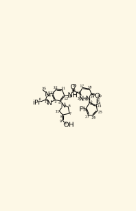 CC(C)c1nc2c(N3CC/C(=C\O)C3)c(NC(=O)c3ccc(=O)n(-c4c(F)cccc4F)n3)ccc2n1C